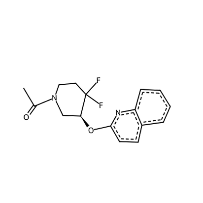 CC(=O)N1CCC(F)(F)[C@@H](Oc2ccc3ccccc3n2)C1